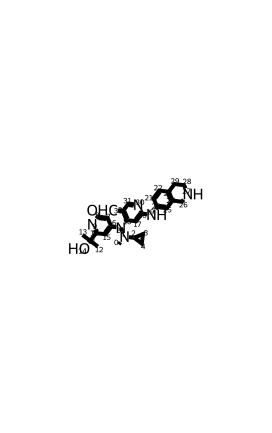 CN(C1CC1)N(c1ccnc(C(C)(C)O)c1)c1cc(Nc2ccc3c(c2)CNCC3)ncc1C=O